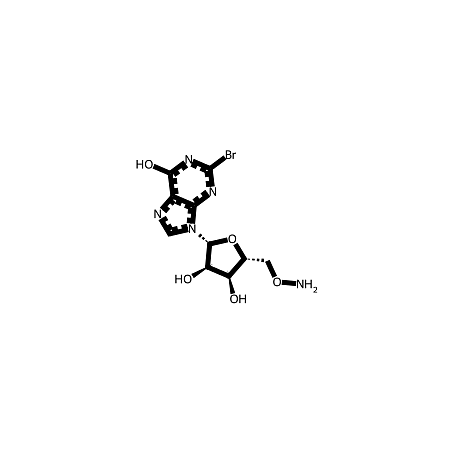 NOC[C@H]1O[C@@H](n2cnc3c(O)nc(Br)nc32)[C@H](O)[C@@H]1O